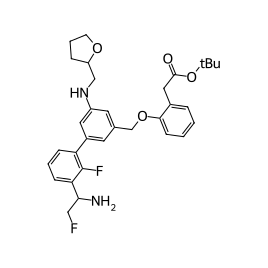 CC(C)(C)OC(=O)Cc1ccccc1OCc1cc(NCC2CCCO2)cc(-c2cccc(C(N)CF)c2F)c1